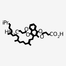 C/C(=C\Cc1c(C)c(OC(=O)CCC(=O)O)c2ccccc2c1OC(=O)CCC(=O)O)CCCC(C)CCCC(C)CCCC(C)C